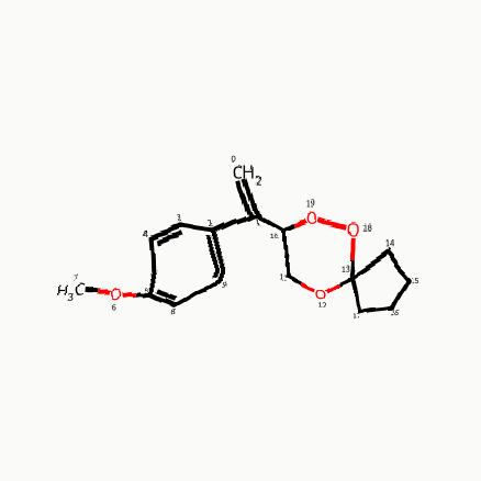 C=C(c1ccc(OC)cc1)C1COC2(CCCC2)OO1